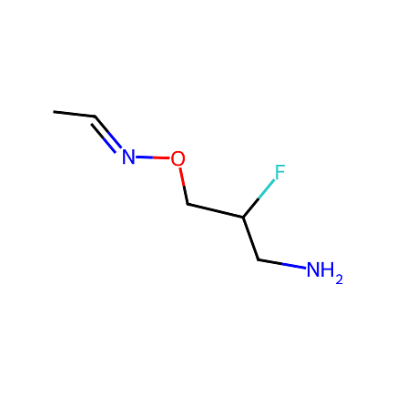 CC=NOCC(F)CN